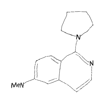 CNc1ccc2c(N3CCCC3)nccc2c1